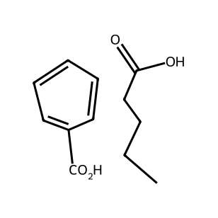 CCCCC(=O)O.O=C(O)c1ccccc1